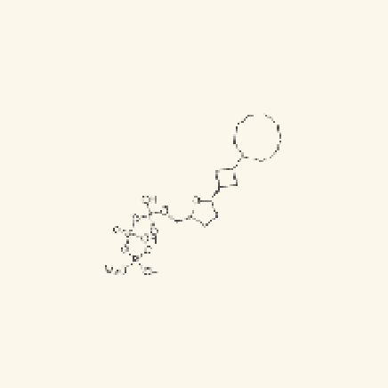 COP(=O)(O)OP(=O)(O)OP(=O)(O)OC[C@@H]1CC[C@H](C2CC(C3CCCCCCCC3)C2)O1